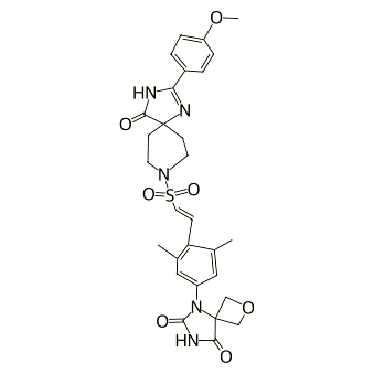 COc1ccc(C2=NC3(CCN(S(=O)(=O)/C=C/c4c(C)cc(N5C(=O)NC(=O)C56COC6)cc4C)CC3)C(=O)N2)cc1